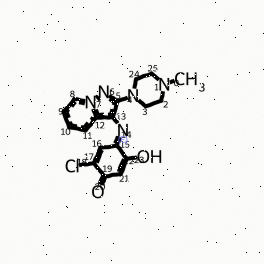 CN1CCN(c2nn3ccccc3c2/N=C2\C=C(Cl)C(=O)C=C2O)CC1